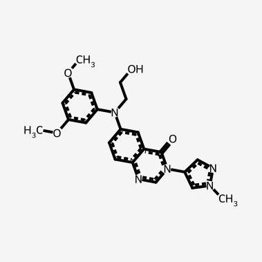 COc1cc(OC)cc(N(CCO)c2ccc3ncn(-c4cnn(C)c4)c(=O)c3c2)c1